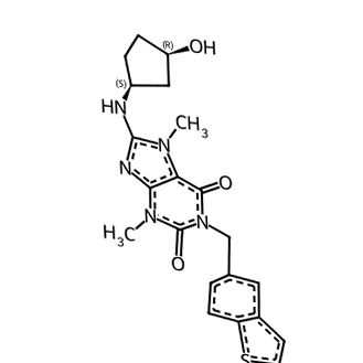 Cn1c(N[C@H]2CC[C@@H](O)C2)nc2c1c(=O)n(Cc1ccc3sccc3c1)c(=O)n2C